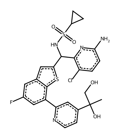 CC(O)(CO)c1ccnc(-c2cc(F)cc3cc(C(NS(=O)(=O)C4CC4)c4nc(N)ccc4Cl)sc23)c1